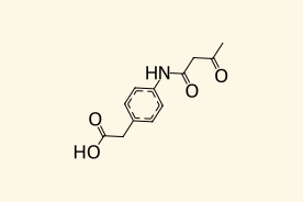 CC(=O)CC(=O)Nc1ccc(CC(=O)O)cc1